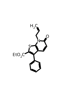 C=CCn1c(=O)ccc2c(-c3ccccc3)c(C(=O)OCC)sc21